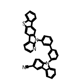 N#Cc1ccc2c(c1)c1ccccc1n2-c1cccc(-c2cccc(-n3c4cc5c(cc4c4cccnc43)sc3ccccc35)c2)c1